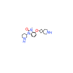 Cn1c(=O)n(C2CCCNC2)c2cccc(OC3CC4(CCNCC4)C3)c21